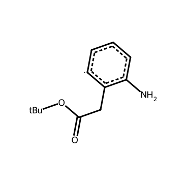 CC(C)(C)OC(=O)Cc1[c]cccc1N